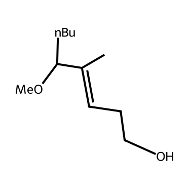 CCCCC(OC)/C(C)=C/CCO